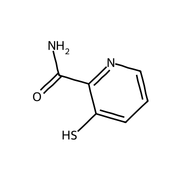 NC(=O)c1ncccc1S